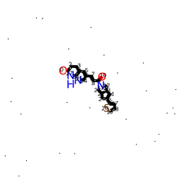 O=C1CCc2cc(/C=C/C(=O)N3CC4C=C(c5cccs5)CC4C3)cnc2N1